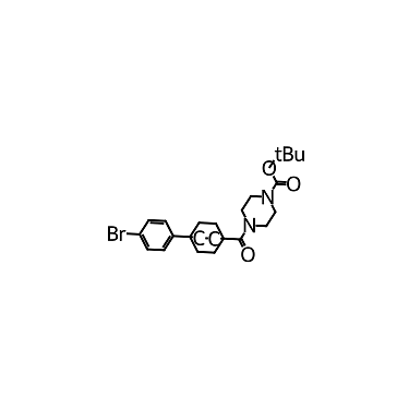 CC(C)(C)OC(=O)N1CCN(C(=O)C23CCC(c4ccc(Br)cc4)(CC2)CC3)CC1